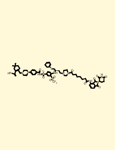 C=C(CCC)C1=C(CN2CCN(c3ccc(C(=O)NS(=O)(=O)c4ccc(N[C@H](CCN5CCN(C(=O)CCCCCCC(=O)Nc6cccc7c6C(=O)N(C6CCC(=O)NC6=O)C7=O)CC5)CSc5ccccc5)c(S(=O)(=O)C(F)(F)F)c4)cc3)CC2)CCC(C)(C)C1